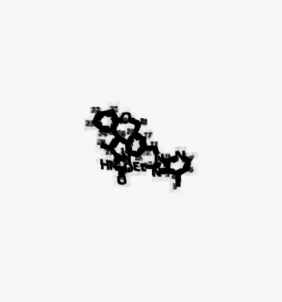 CCc1nc2c(C)ccnc2n1Cc1ccc2c(c1)COc1ccccc1/C2=C(\C)c1noc(=O)[nH]1